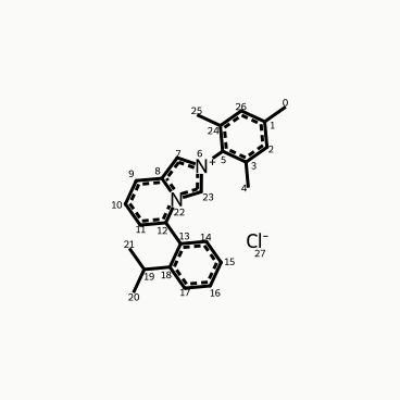 Cc1cc(C)c(-[n+]2cc3cccc(-c4ccccc4C(C)C)n3c2)c(C)c1.[Cl-]